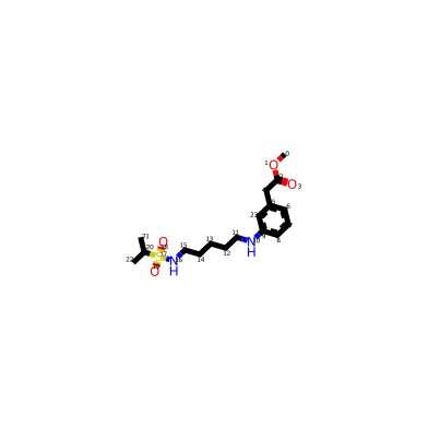 COC(=O)Cc1cccc(NCCCCCNS(=O)(=O)C(C)C)c1